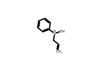 C=CC[SiH](O)c1ccccc1